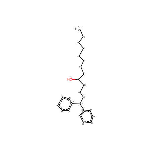 CCCCCCCCC(O)CCCC(c1ccccc1)c1ccccc1